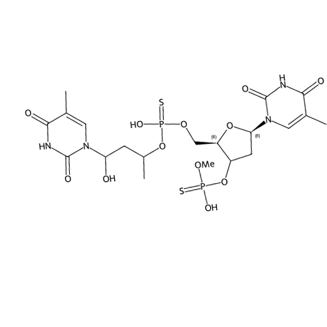 COP(O)(=S)OC1C[C@H](n2cc(C)c(=O)[nH]c2=O)O[C@@H]1COP(O)(=S)OC(C)CC(O)n1cc(C)c(=O)[nH]c1=O